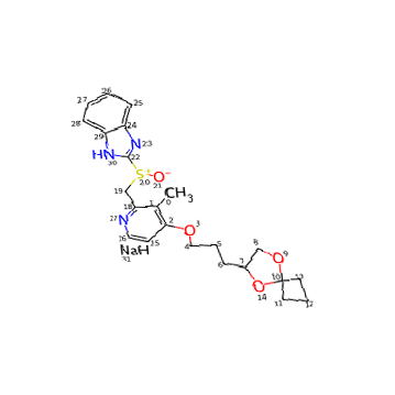 Cc1c(OCCCC2COC3(CCC3)O2)ccnc1C[S+]([O-])c1nc2ccccc2[nH]1.[NaH]